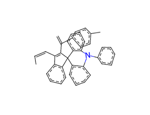 C=C(C1=C(/C=C\C)c2ccccc2C12c1ccccc1N(c1ccccc1)c1ccccc12)c1ccc(C)cc1